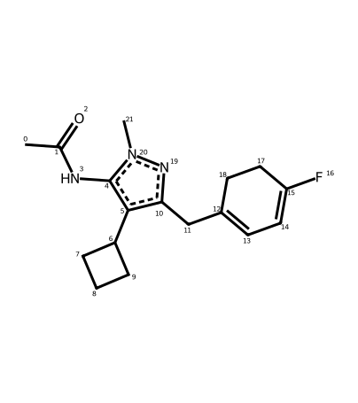 CC(=O)Nc1c(C2CCC2)c(CC2=CC=C(F)CC2)nn1C